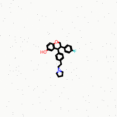 Oc1ccc2c(c1)C(c1ccc(CCN3CCCC3)cc1)C(c1ccc(F)cc1)CO2